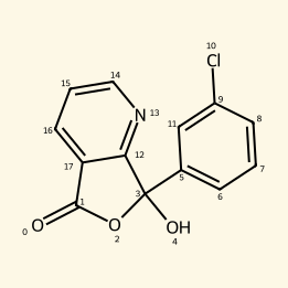 O=C1OC(O)(c2cccc(Cl)c2)c2ncccc21